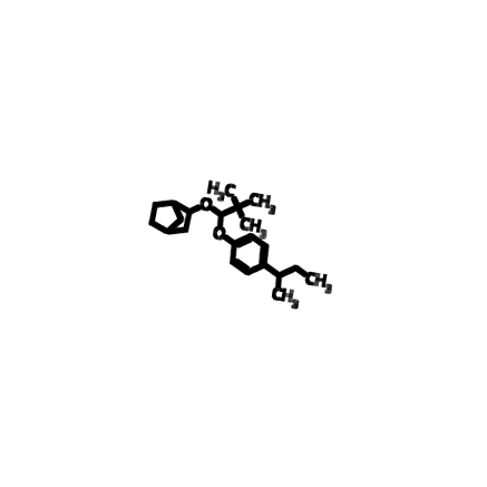 CCC(C)c1ccc(OC(OC2CC3CCC2C3)C(C)(C)C)cc1